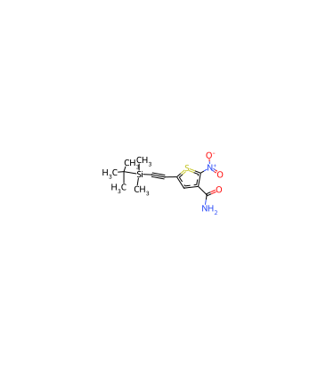 CC(C)(C)[Si](C)(C)C#Cc1cc(C(N)=O)c([N+](=O)[O-])s1